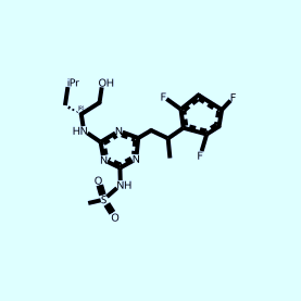 CC(C)C[C@H](CO)Nc1nc(CC(C)c2c(F)cc(F)cc2F)nc(NS(C)(=O)=O)n1